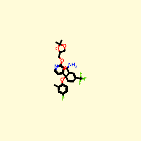 Cc1cc(F)ccc1OC1(c2ccnc(OCC3COC(C)(C)O3)c2)C=CC(C(F)(F)F)=CC1C(N)=O